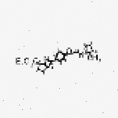 CCOC(=O)C1CCc2sc(-c3ccc(OCCCN4CCCC4C)cc3)nc21